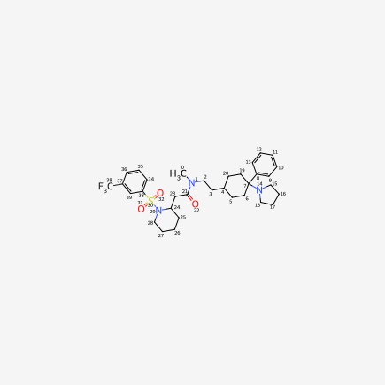 CN(CCC1CCC(c2ccccc2)(N2CCCC2)CC1)C(=O)CC1CCCCN1S(=O)(=O)c1cccc(C(F)(F)F)c1